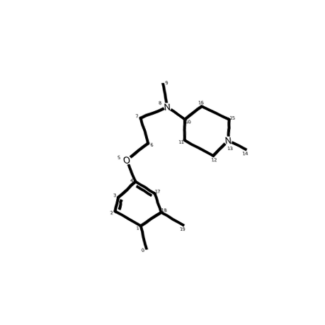 CC1C=CC(OCCN(C)C2CCN(C)CC2)=CC1C